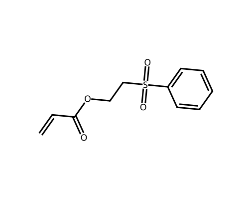 C=CC(=O)OCCS(=O)(=O)c1ccccc1